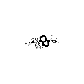 CCCCCCN(C(N)=O)S(=O)(=O)c1cccc2c(N(C)C)cccc12